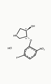 Cl.O=[N+]([O-])c1ccc(F)cc1O[C@@H]1CNC[C@H]1O